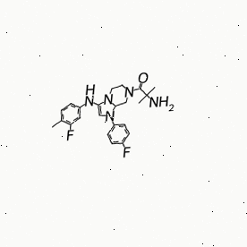 Cc1ccc(NC2=CN(c3ccc(F)cc3)C3CN(C(=O)C(C)(C)N)CCN23)cc1F